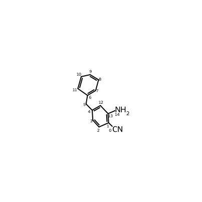 N#Cc1ccc(Cc2ccccc2)cc1N